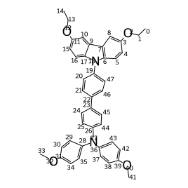 CCOc1ccc2c(c1)c1cc(OCC)ccc1n2-c1ccc(-c2ccc(N(c3ccc(OC)cc3)c3ccc(OC)cc3)cc2)cc1